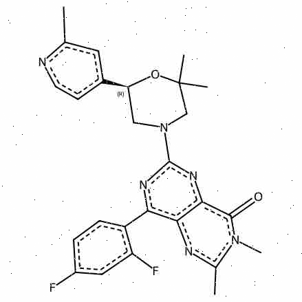 Cc1cc([C@@H]2CN(c3nc(-c4ccc(F)cc4F)c4nc(C)n(C)c(=O)c4n3)CC(C)(C)O2)ccn1